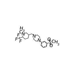 CN1CC(CN2CCN(c3cccc(S(C)(=O)=O)c3)CC2)CCC1C(F)(F)F